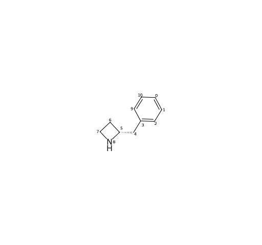 c1ccc(C[C@H]2CCN2)cc1